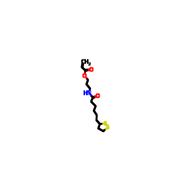 C=CC(=O)OCCCNC(=O)CCCCCC1CCSS1